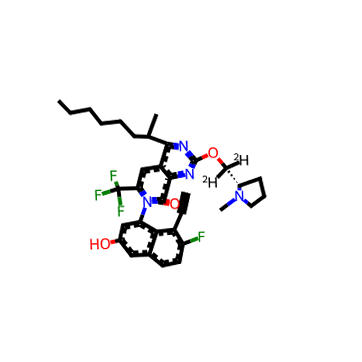 [2H]C([2H])(Oc1nc(C(C)CCCCCC)c2cc(C(F)(F)F)n(-c3cc(O)cc4ccc(F)c(C#C)c34)c(=O)c2n1)[C@@H]1CCCN1C